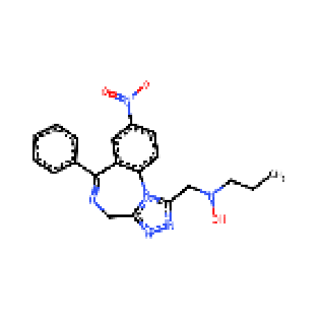 CCCN(O)Cc1nnc2n1-c1ccc([N+](=O)[O-])cc1C(c1ccccc1)=NC2